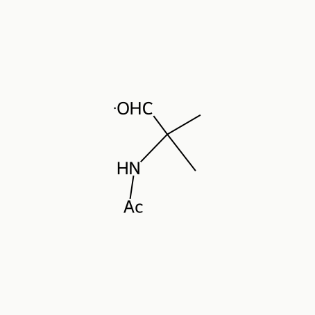 CC(=O)NC(C)(C)[C]=O